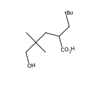 CC(C)(C)CC(CC(C)(C)CO)C(=O)O